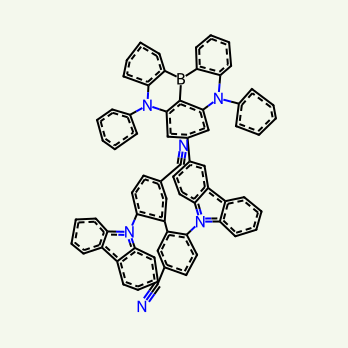 N#Cc1ccc(-n2c3ccccc3c3ccccc32)c(-c2cc(C#N)ccc2-n2c3ccccc3c3cc(-c4cc5c6c(c4)N(c4ccccc4)c4ccccc4B6c4ccccc4N5c4ccccc4)ccc32)c1